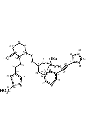 CC(C)(C)[Si](C)(C)OC(CCN1CCSC(=O)N1CCc1ccc(C(=O)O)s1)Cc1cccc(C#Cc2cscn2)c1